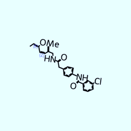 C=C(/C=C\C(=C/C)OC)CNC(=O)Cc1ccc(NC(=O)c2cccc(Cl)c2)cc1